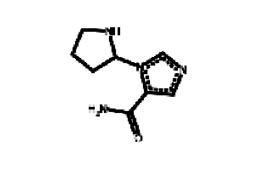 NC(=O)c1cncn1C1CCCN1